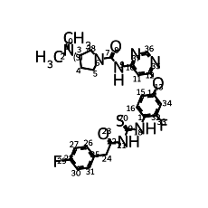 CN(C)[C@H]1CCN(C(=O)Nc2cc(Oc3ccc(NC(=S)NC(=O)Cc4ccc(F)cc4)c(F)c3)ncn2)C1